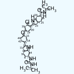 CC(C)NC(=O)Nc1ccc2cc(-c3ccc(Oc4ccc(-c5cc6ccc(C(=O)NC(C)C)cc6[nH]5)c(Cl)c4)cc3)[nH]c2c1